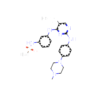 CCOC(=O)c1cnc(Nc2ccc(N3CCN(C)CC3)cc2)nc1Nc1cccc(NS(=O)(=O)C(C)(C)C)c1